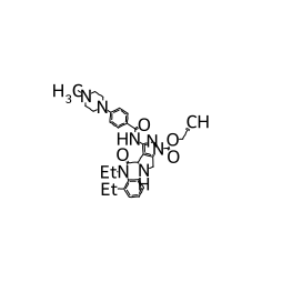 C#CCOC(=O)n1nc(NC(=O)c2ccc(N3CCN(C)CC3)cc2)c2c1CNC2C(=O)N(CC)c1ccccc1CC